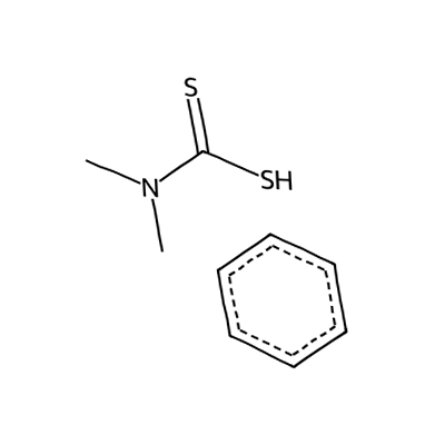 CN(C)C(=S)S.c1ccccc1